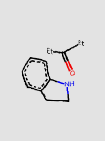 CCC(=O)CC.c1ccc2c(c1)CCN2